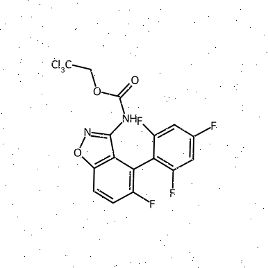 O=C(Nc1noc2ccc(F)c(-c3c(F)cc(F)cc3F)c12)OCC(Cl)(Cl)Cl